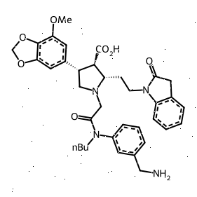 CCCCN(C(=O)CN1C[C@H](c2cc(OC)c3c(c2)OCO3)[C@@H](C(=O)O)[C@@H]1CCN1C(=O)Cc2ccccc21)c1cccc(CN)c1